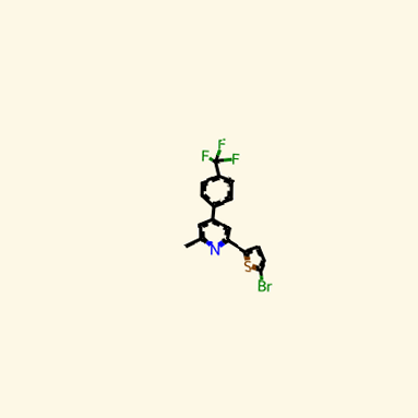 Cc1cc(-c2ccc(C(F)(F)F)cc2)cc(-c2ccc(Br)s2)n1